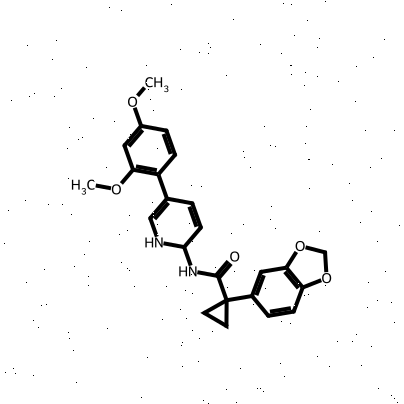 COc1ccc(C2=CNC(NC(=O)C3(c4ccc5c(c4)OCO5)CC3)C=C2)c(OC)c1